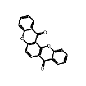 O=c1c2ccccc2oc2c1ccc1oc3ccccc3c(=O)c12